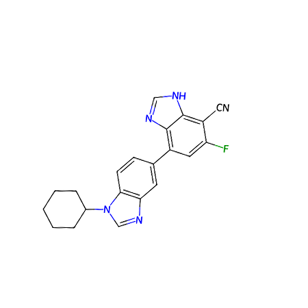 N#Cc1c(F)cc(-c2ccc3c(c2)ncn3C2CCCCC2)c2nc[nH]c12